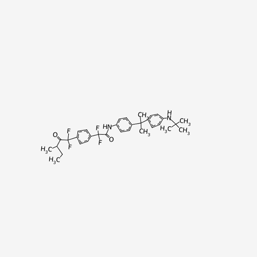 CCC(C)C(=O)C(F)(F)c1ccc(C(F)(F)C(=O)Nc2ccc(C(C)(C)c3ccc(NC(C)(C)C)cc3)cc2)cc1